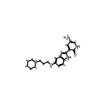 Nc1c[nH]c(=O)c(-c2cc3cc(OCCCN4CCCCC4)ccc3[nH]2)c1